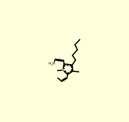 C/C=C\c1c(C)c(CCCCC)c(/C=C\N)n1C